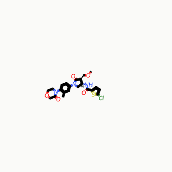 COC[C@@H]1C(=O)N(c2ccc(N3CCOCC3=O)c(C)c2)C[C@@H]1NC(=O)c1ccc(Cl)s1